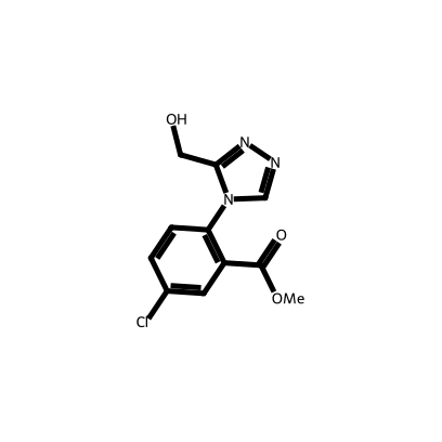 COC(=O)c1cc(Cl)ccc1-n1cnnc1CO